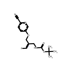 CC(C)(C)OC(=O)NC/C(=C/F)COc1ccc(C#N)nc1